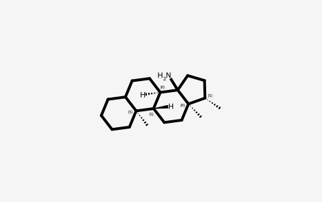 C[C@H]1CCC2(N)[C@@H]3CCC4CCCC[C@]4(C)[C@H]3CC[C@]12C